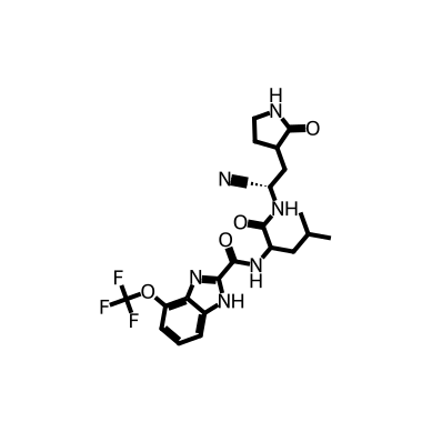 CC(C)CC(NC(=O)c1nc2c(OC(F)(F)F)cccc2[nH]1)C(=O)N[C@H](C#N)CC1CCNC1=O